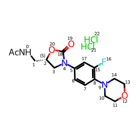 CC(=O)NC[C@H]1CN(c2ccc(N3CCOCC3)c(F)c2)C(=O)O1.Cl.Cl